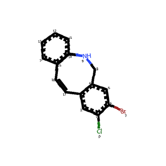 Clc1cc2c(cc1Br)CNc1ccccc1C=C2